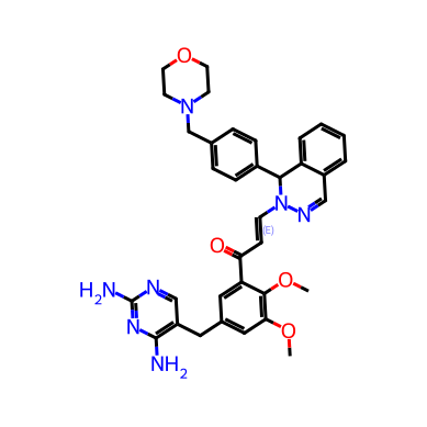 COc1cc(Cc2cnc(N)nc2N)cc(C(=O)/C=C/N2N=Cc3ccccc3C2c2ccc(CN3CCOCC3)cc2)c1OC